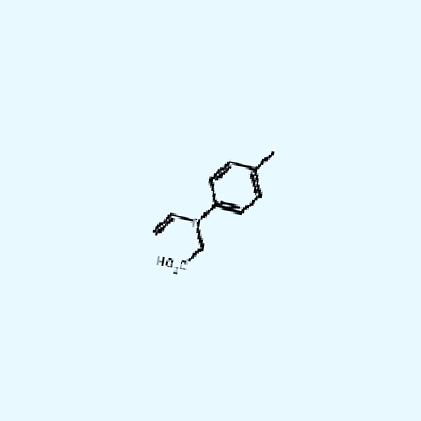 C=CN(CC(=O)O)c1ccc(C)cc1